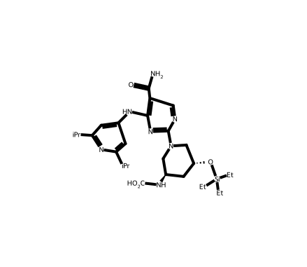 CC[Si](CC)(CC)O[C@@H]1C[C@@H](NC(=O)O)CN(c2ncc(C(N)=O)c(Nc3cc(C(C)C)nc(C(C)C)c3)n2)C1